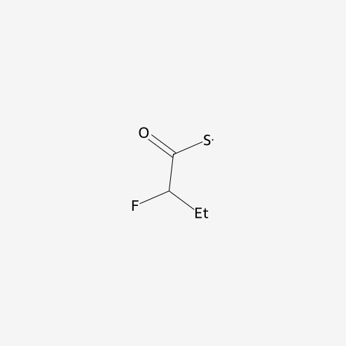 CCC(F)C(=O)[S]